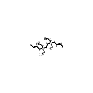 CC=CC[Si](CC[Si](CC=CC)(OCC)OCC)(OCC)OCC